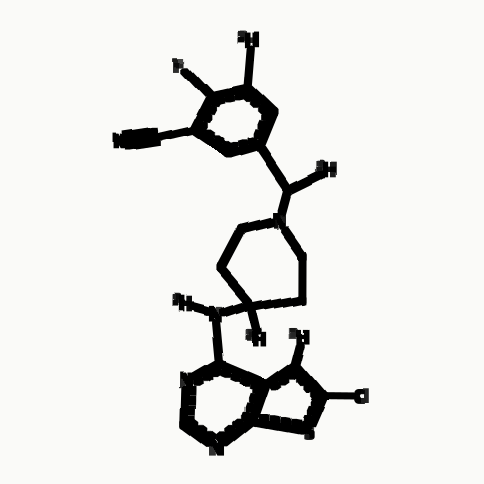 [2H]c1cc(C([2H])N2CCC([2H])(N([2H])c3ncnc4sc(Cl)c([2H])c34)CC2)cc(C#N)c1F